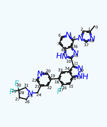 Cc1cn(-c2nccc3[nH]c(-c4n[nH]c5cc(F)c(-c6cncc(CN7CCC(F)(F)C7)c6)cc45)nc23)cn1